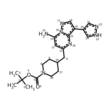 CC(C)(C)OC(=O)N1CCC(Cc2cc(N)n3ncc(-c4cn[nH]c4)c3n2)CC1